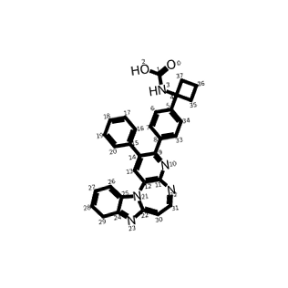 O=C(O)NC1(c2ccc(-c3nc4c(cc3-c3ccccc3)-n3c(nc5c3=CC=CC5)=CC=N4)cc2)CCC1